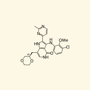 COc1c(Cl)cccc1Nc1c(-c2ccnc(C)n2)[nH]c2c(C[C@@H]3COCCO3)c[nH]c(=O)c12